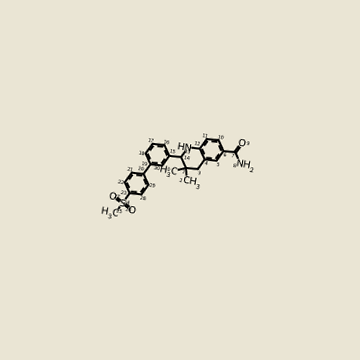 CC1(C)Cc2cc(C(N)=O)ccc2NC1c1cccc(-c2ccc(S(C)(=O)=O)cc2)c1